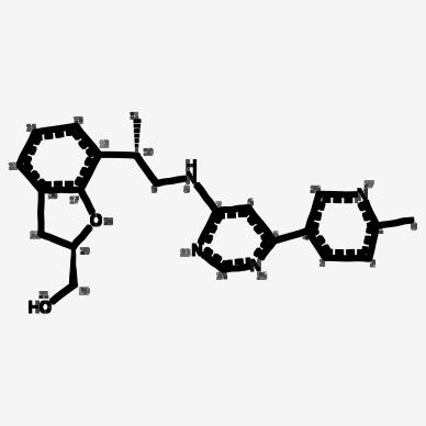 Cc1ccc(-c2cc(NC[C@@H](C)c3cccc4c3O[C@@H](CO)C4)ncn2)cn1